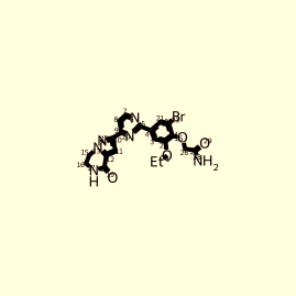 CCOc1cc(-c2nccc(-c3cc4n(n3)CCNC4=O)n2)cc(Br)c1OCC(N)=O